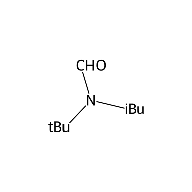 CCC(C)N(C=O)C(C)(C)C